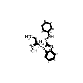 CCC(C)=NO.c1ccc2sc(SNC3CCCCC3)nc2c1